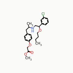 CCCCOC(CNC(C)Cc1ccc(OCC(=O)OC)cc1)c1cccc(Cl)c1